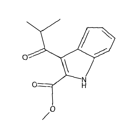 COC(=O)c1[nH]c2ccccc2c1C(=O)C(C)C